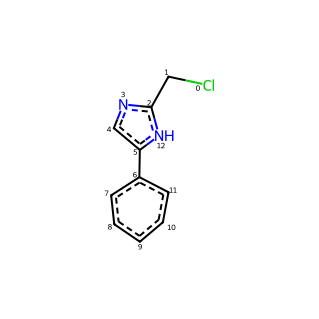 ClCc1ncc(-c2ccccc2)[nH]1